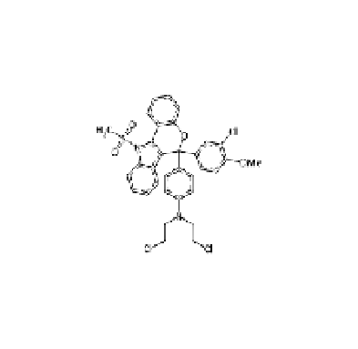 COc1ccc(C2(c3ccc(N(CCCl)CCCl)cc3)Oc3ccccc3-c3c2c2ccccc2n3S(C)(=O)=O)cc1Cl